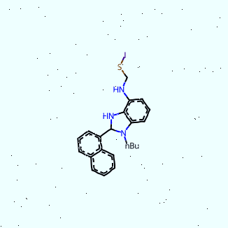 CCCCN1c2cccc(NCSI)c2NC1c1cccc2ccccc12